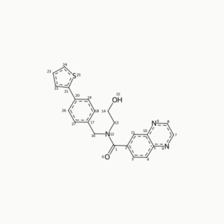 O=C(c1ccc2nccnc2c1)N(CCO)Cc1ccc(-c2cccs2)cc1